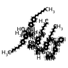 CCCCCCCCc1ccc(-c2ccc(NC[C@@H]([C@H](C)O)N(c3ccc(-c4ccc(CCCCCCCC)cc4)cc3)C(C)(O)C(N)C(N)=O)cc2)cc1.CCCCCCCc1nc(-c2ccc3c(c2)CC[C@@H]3NC(=O)C2NCCC2O)no1.CCCCCCCc1nc(-c2ccc3c(c2)CC[C@H]3NC(=O)C2NCCC2O)no1.Cn1nc(-c2ccc(CNC(=O)C3NCCC3O)cc2)nc1C1CCCCC1